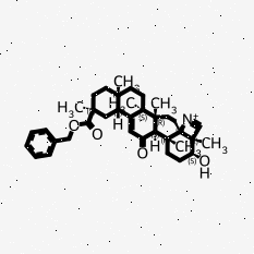 C[C@]1(C(=O)OCc2ccccc2)CC[C@]2(C)CC[C@]3(C)C(=CC(=O)[C@@H]4[C@@]5(C)CC[C@H](O)[C@@]6(C)C#[N+][C@]65CC[C@]43C)[C@@H]2C1